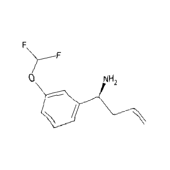 C=CC[C@H](N)c1cccc(OC(F)F)c1